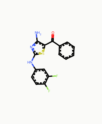 Nc1nc(Nc2ccc(F)c(F)c2)sc1C(=O)c1ccccc1